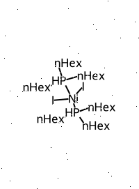 CCCCCC[PH](CCCCCC)(CCCCCC)[Ni]([I])([I])[PH](CCCCCC)(CCCCCC)CCCCCC